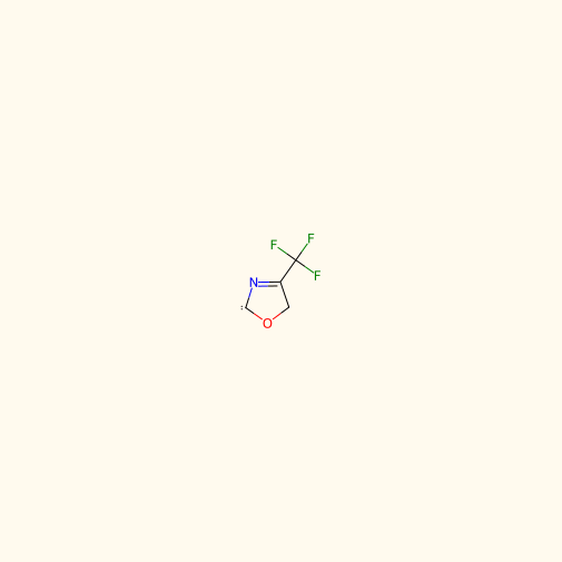 FC(F)(F)C1=N[C]OC1